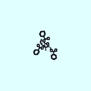 C=C=C[C@]1(OC(=O)c2ccccc2)C(OC(=O)c2ccccc2)O[C@H](COC(=O)c2ccccc2)C1C